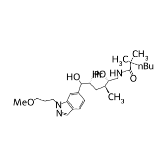 CCCCC(C)(C)C(=O)NC[C@@H](O)[C@@H](C)C[C@@H](C(C)C)C(O)c1ccc2cnn(CCCOC)c2c1